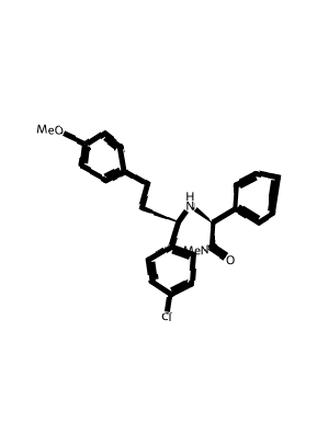 CNC(=O)[C@@H](N[C@H](CCc1ccc(OC)cc1)c1ccc(Cl)cc1)c1ccccc1